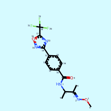 CO/N=C(\C)C(C)NC(=O)c1ccc(-c2noc(C(F)(F)F)n2)cc1